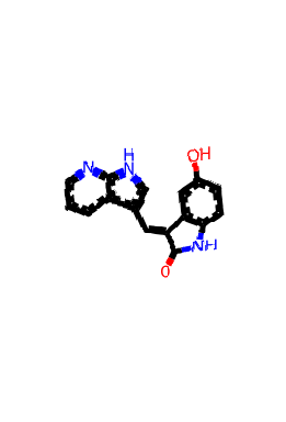 O=C1Nc2ccc(O)cc2/C1=C\c1c[nH]c2ncccc12